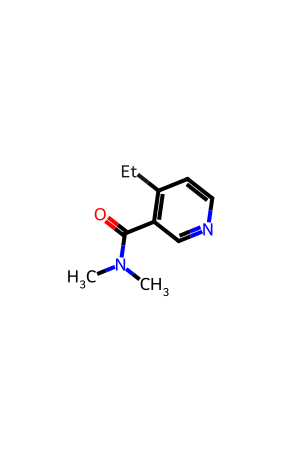 CCc1ccncc1C(=O)N(C)C